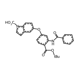 CC(C)(C)OC(=O)c1ccc(Oc2ccc3c(ccn3C(=O)O)c2)cc1NC(=O)c1ccccc1